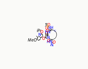 COc1ccc2c(O[C@@H]3C[C@H]4C(=O)N[C@]5(C(=O)NS(=O)(=O)C6(C)CC6)CC5/C=C\CCCCC[C@H](NC(=O)N(C)C)C(=O)N4C3)cc(OC(C)C)nc2c1C